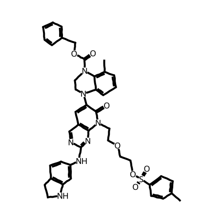 Cc1ccc(S(=O)(=O)OCCOCCn2c(=O)c(N3CCN(C(=O)OCc4ccccc4)c4c(C)cccc43)cc3cnc(Nc4ccc5c(c4)NCC5)nc32)cc1